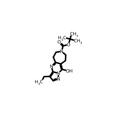 CCc1cnn2c(O)c3c(nc12)CCN(C(=O)OC(C)(C)C)CC3